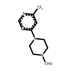 O=CN1CCN(c2cc(C(F)(F)F)ncn2)CC1